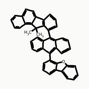 CC1(C)c2c(cccc2-c2c3ccccc3c(-c3cccc4c3oc3ccccc34)c3ccccc23)-c2ccc3ccccc3c21